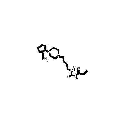 Bc1ccccc1N1CCN(CCCCN(N)C(=O)N(C)C(=O)C=C)CC1